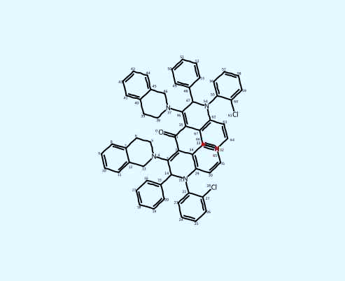 O=C(C1=C(N2CCc3ccccc3C2)C(c2ccccc2)N(c2ccccc2Cl)c2ccncc21)C1=C(N2CCc3ccccc3C2)C(c2ccccc2)N(c2ccccc2Cl)c2ccncc21